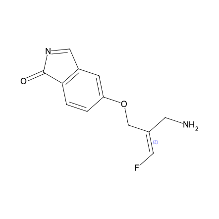 NC/C(=C/F)COc1ccc2c(c1)C=NC2=O